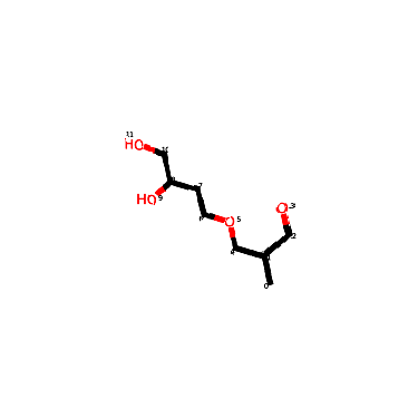 CC(C[O])COCCC(O)CO